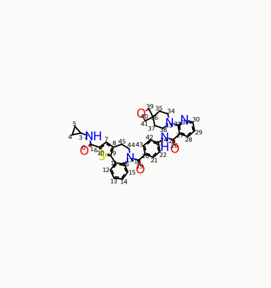 O=C(NC1CC1)c1cc2c(s1)-c1ccccc1N(C(=O)c1ccc(NC(=O)c3cccnc3N3CCC4(CC3)COC4)cc1)CC2